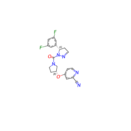 N#Cc1cc(O[C@@H]2CCN(C(=O)N3N=CC[C@H]3c3cc(F)cc(F)c3)C2)ccn1